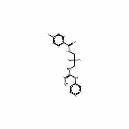 CC(C)(CNC(=O)c1ccc(I)cc1)CNC(=NC#N)Nc1cccnc1